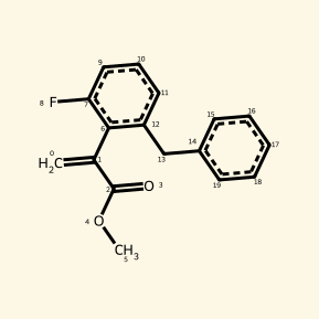 C=C(C(=O)OC)c1c(F)cccc1Cc1ccccc1